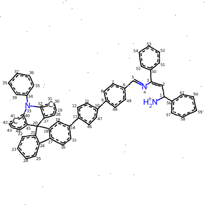 NC(/C=C(\N=C\c1ccc(-c2ccc(-c3ccc4c(c3)C3(c5ccccc5-4)c4ccccc4N(c4ccccc4)c4ccccc43)cc2)cc1)c1ccccc1)c1ccccc1